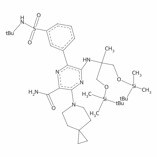 CC(C)(C)NS(=O)(=O)c1cccc(-c2nc(C(N)=O)c(N3CCC4(CC3)CC4)nc2NC(C)(CO[Si](C)(C)C(C)(C)C)CO[Si](C)(C)C(C)(C)C)c1